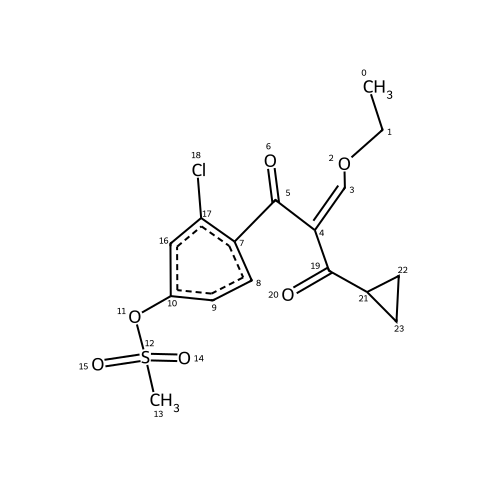 CCO/C=C(\C(=O)c1ccc(OS(C)(=O)=O)cc1Cl)C(=O)C1CC1